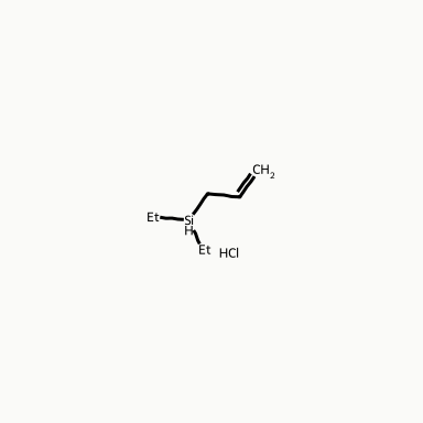 C=CC[SiH](CC)CC.Cl